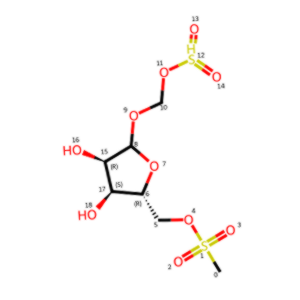 CS(=O)(=O)OC[C@H]1OC(OCO[SH](=O)=O)[C@H](O)[C@@H]1O